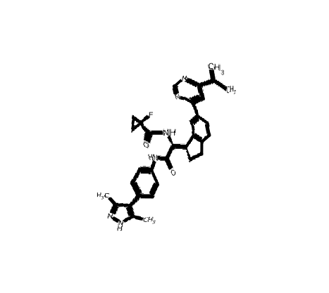 Cc1n[nH]c(C)c1-c1ccc(NC(=O)[C@@H](NC(=O)C2(F)CC2)[C@@H]2CCc3ccc(-c4cc(C(C)C)ncn4)cc32)cc1